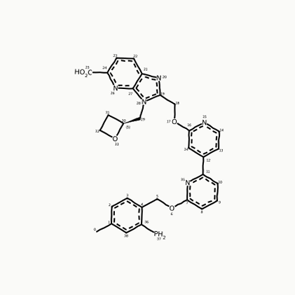 Cc1ccc(COc2cccc(-c3ccnc(OCc4nc5ccc(C(=O)O)nc5n4C[C@@H]4CCO4)c3)n2)c(P)c1